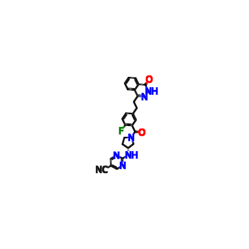 N#Cc1cnc(N[C@@H]2CCN(C(=O)c3cc(CCc4n[nH]c(=O)c5ccccc45)ccc3F)C2)nc1